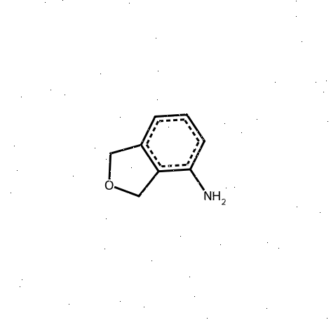 Nc1cccc2c1COC2